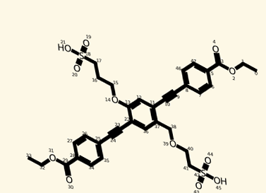 CCOC(=O)c1ccc(C#Cc2cc(OCCCS(=O)(=O)O)c(C#Cc3ccc(C(=O)OCC)cc3)cc2COCCS(=O)(=O)O)cc1